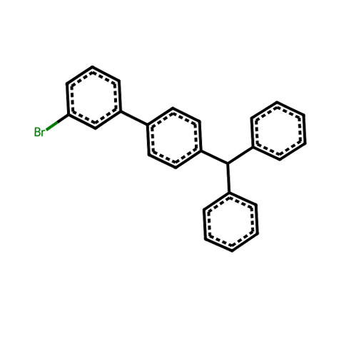 Brc1cccc(-c2ccc(C(c3ccccc3)c3ccccc3)cc2)c1